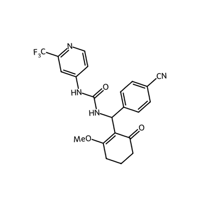 COC1=C(C(NC(=O)Nc2ccnc(C(F)(F)F)c2)c2ccc(C#N)cc2)C(=O)CCC1